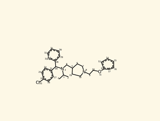 CC(C)N(CC1CCN(CCOc2ccccc2)CC1)C(c1ccc(Cl)cc1)c1ccccn1